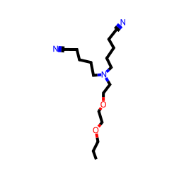 CCCOCCOCCN(CCCCC#N)CCCCC#N